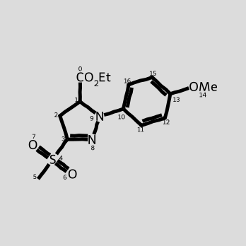 CCOC(=O)C1CC(S(C)(=O)=O)=NN1c1ccc(OC)cc1